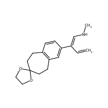 C=C/C(=C\NC)c1ccc2c(c1)CCC1(CC2)OCCO1